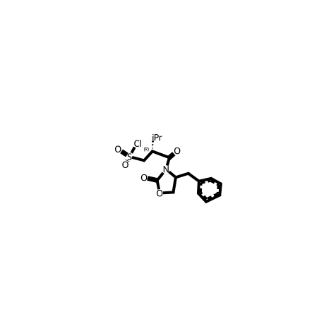 CC(C)[C@@H](CS(=O)(=O)Cl)C(=O)N1C(=O)OCC1Cc1ccccc1